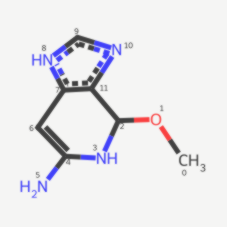 COC1NC(N)=Cc2[nH]cnc21